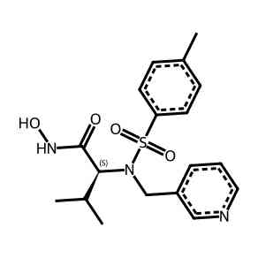 Cc1ccc(S(=O)(=O)N(Cc2cccnc2)[C@H](C(=O)NO)C(C)C)cc1